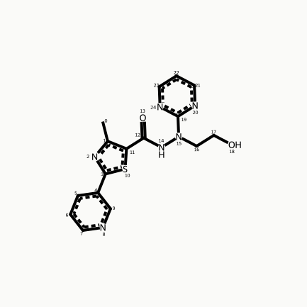 Cc1nc(-c2cccnc2)sc1C(=O)NN(CCO)c1ncccn1